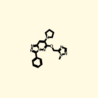 Cn1ncnc1COc1nn2c(-c3ccccc3)nnc2cc1N1CCCC1